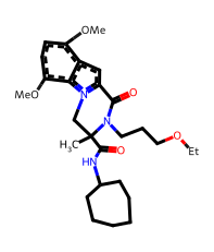 CCOCCCN1C(=O)c2cc3c(OC)ccc(OC)c3n2CC1(C)C(=O)NC1CCCCCC1